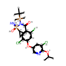 CC(C)Oc1ncc(Oc2cc(F)c(C(=O)N(S(C)(C)C(C)(C)C)S(=N)(=O)C3CC3)cc2Cl)cc1Cl